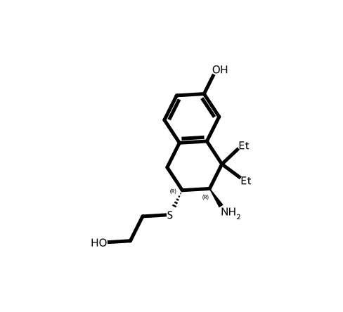 CCC1(CC)c2cc(O)ccc2C[C@@H](SCCO)[C@@H]1N